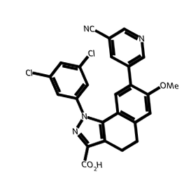 COc1cc2c(cc1-c1cncc(C#N)c1)-c1c(c(C(=O)O)nn1-c1cc(Cl)cc(Cl)c1)CC2